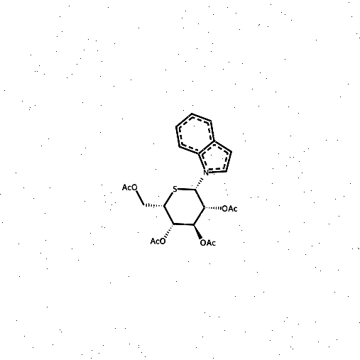 CC(=O)OC[C@@H]1S[C@H](n2ccc3ccccc32)[C@H](OC(C)=O)[C@@H](OC(C)=O)[C@@H]1OC(C)=O